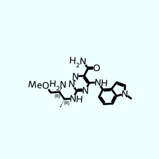 COC[C@H](N)[C@@H](C)Nc1nnc(C(N)=O)c(Nc2cccc3c2ccn3C)n1